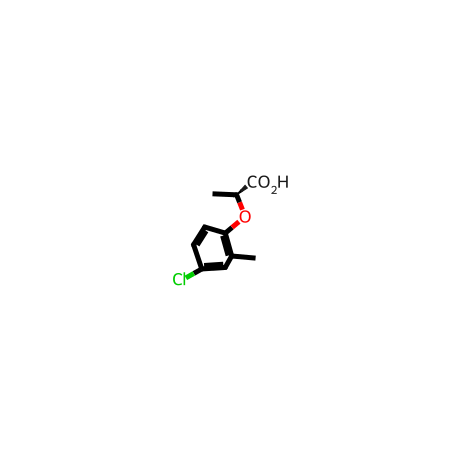 Cc1cc(Cl)ccc1O[C@@H](C)C(=O)O